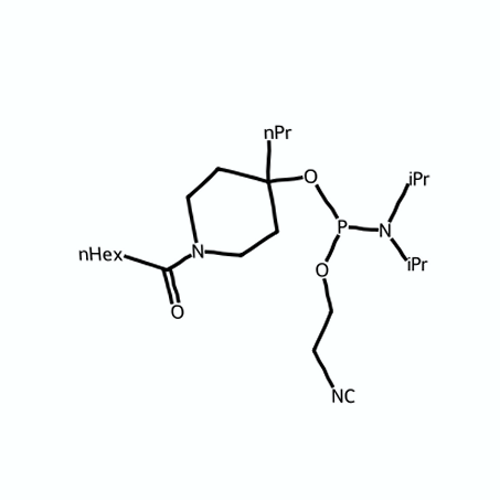 [C-]#[N+]CCOP(OC1(CCC)CCN(C(=O)CCCCCC)CC1)N(C(C)C)C(C)C